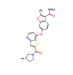 CNC(=O)c1c(C(C)C)oc2cc(Oc3ccnc4cc(C(=O)N5CC[C@@H](C)C5)sc34)ccc12